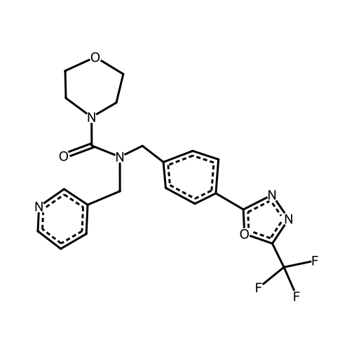 O=C(N1CCOCC1)N(Cc1ccc(-c2nnc(C(F)(F)F)o2)cc1)Cc1cccnc1